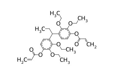 C=CC(=O)Oc1ccc(C(CC)c2ccc(OC(=O)C=C)c(OCC)c2OCC)c(OCC)c1OCC